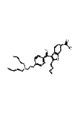 CCCCc1oc2cc(C(=O)O)ccc2c1C(=O)c1ccc(CCCN(CCCC)CCCC)cc1